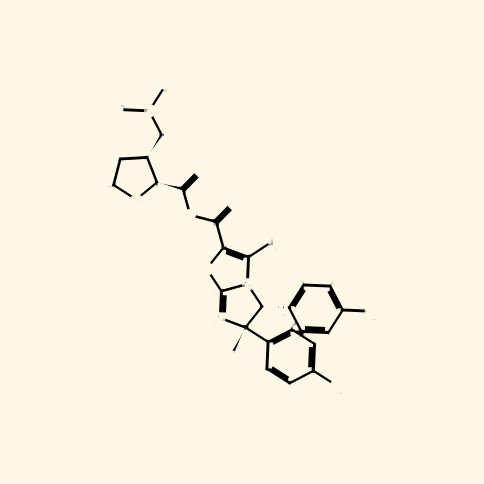 CC(C)C1=C(C(=O)OC(=O)[C@H]2NCC[C@H]2CN(C)C)SC2=N[C@@](C)(c3ccc(Cl)cc3)[C@@H](c3ccc(Cl)cc3)N21